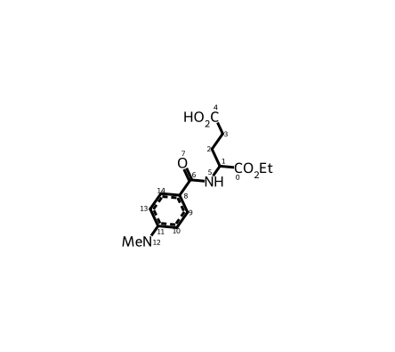 CCOC(=O)C(CCC(=O)O)NC(=O)c1ccc(NC)cc1